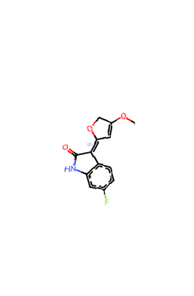 COC1=C/C(=C2/C(=O)Nc3cc(F)ccc32)OC1